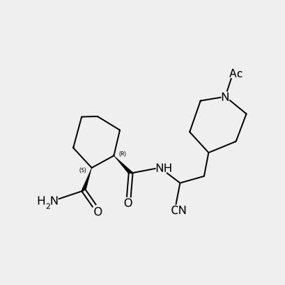 CC(=O)N1CCC(CC(C#N)NC(=O)[C@@H]2CCCC[C@@H]2C(N)=O)CC1